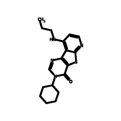 CCCNc1ccnc2sc3c(=O)n(C4CCCCC4)cnc3c12